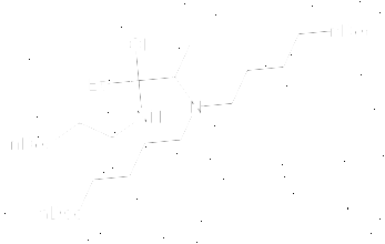 CCCCCCCCCCCCCCN(CCCCCCCCCCCCCC)C(C)C(O)(CC)NCCCCCCCCCCCC